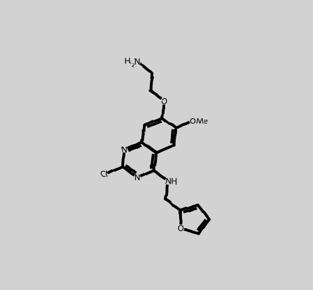 COc1cc2c(NCc3ccco3)nc(Cl)nc2cc1OCCN